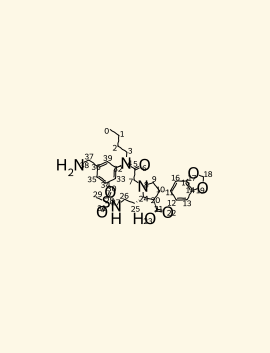 CCCCN(C(=O)CN1C[C@H](c2ccc3c(c2)OCO3)[C@@H](C(=O)O)[C@@H]1CCNS(C)(=O)=O)c1cccc(CN)c1